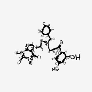 Cn1c(=O)c2c(ncn2CCN(CC(=O)c2cc(O)cc(O)c2)Cc2ccccc2)n(C)c1=O